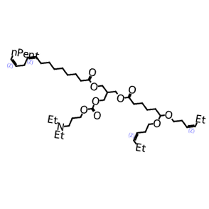 CC/C=C\CCOC(CCCCC(=O)OCC(COC(=O)CCCCCCC/C=C\C/C=C\CCCCC)COC(=O)OCCCN(CC)CC)OCC/C=C\CC